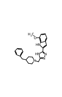 COc1cccc2cc(-c3nnc(CN4CCC(Cc5ccccc5)CC4)[nH]3)[nH]c12